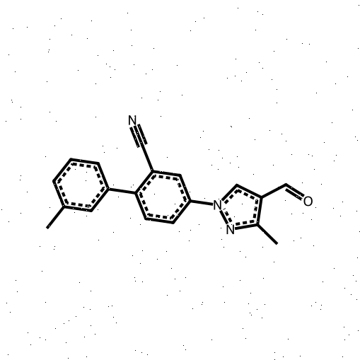 Cc1cccc(-c2ccc(-n3cc(C=O)c(C)n3)cc2C#N)c1